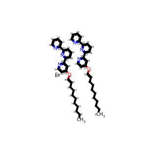 CCCCCCCCCC=COc1ccnc(-c2cccc(-c3ccccn3)n2)c1.CCCCCCCCCC=COc1ccnc(-c2cccc(-c3ccccn3)n2)c1.[Fe]